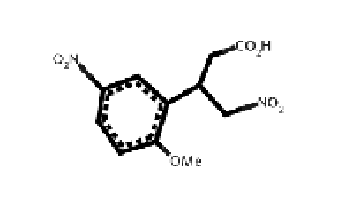 COc1ccc([N+](=O)[O-])cc1C(CC(=O)O)C[N+](=O)[O-]